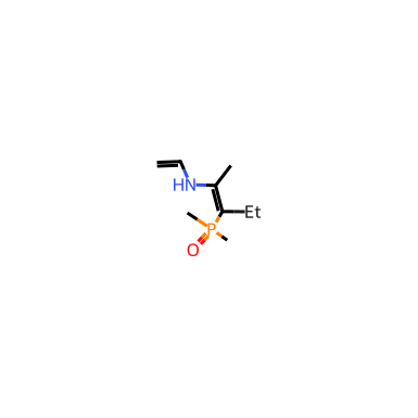 C=CN/C(C)=C(/CC)P(C)(C)=O